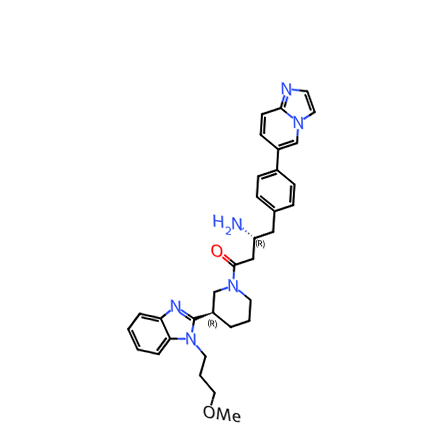 COCCCn1c([C@@H]2CCCN(C(=O)C[C@H](N)Cc3ccc(-c4ccc5nccn5c4)cc3)C2)nc2ccccc21